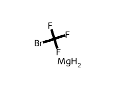 FC(F)(F)Br.[MgH2]